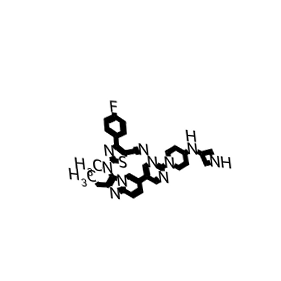 CCc1nc2ccc(-c3cnc(N4CCC(NC5CNC5)CC4)nc3)cn2c1N(C)c1nc(-c2ccc(F)cc2)c(C#N)s1